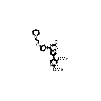 COc1ncc(-c2cc3c(N4CCC(OCCN5CCCCC5)C4)nc(Cl)nn3c2)c(OC)n1